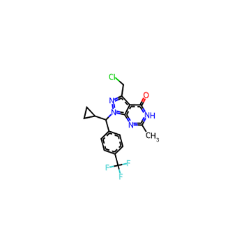 Cc1nc2c(c(CCl)nn2C(c2ccc(C(F)(F)F)cc2)C2CC2)c(=O)[nH]1